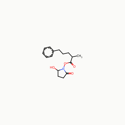 CC(CCCc1ccccc1)C(=O)ON1C(=O)CCC1O